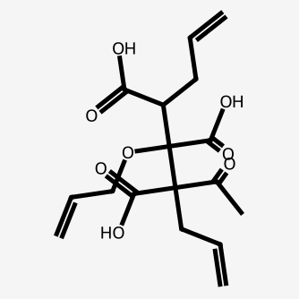 C=CCOC(C(=O)O)(C(CC=C)C(=O)O)C(CC=C)(C(C)=O)C(=O)O